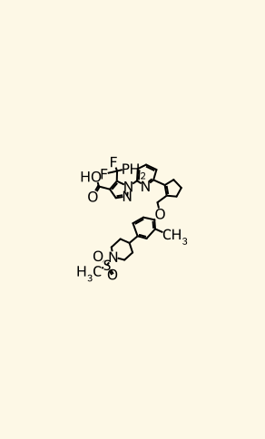 Cc1cc(C2CCN(S(C)(=O)=O)CC2)ccc1OCC1=C(c2cccc(-n3ncc(C(=O)O)c3C(F)(F)P)n2)CCC1